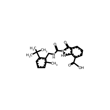 Cc1cccc(C(C)(C)C)c1CNC(=O)n1[nH]c2c(C(=O)O)cccc2c1=O